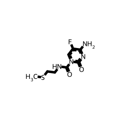 CSCCNC(=O)n1cc(F)c(N)nc1=O